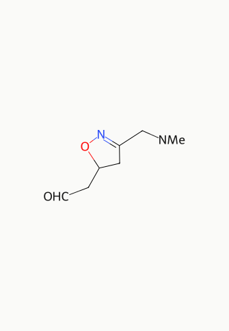 CNCC1=NOC(CC=O)C1